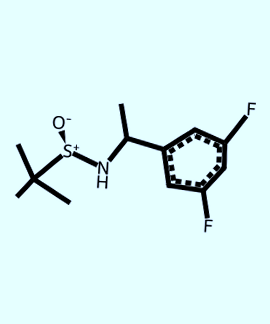 CC(N[S@+]([O-])C(C)(C)C)c1cc(F)cc(F)c1